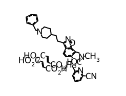 CN(C)Cc1c(OCc2cccc(C#N)n2)ccc2c(CCC3CCN(Cc4ccccc4)CC3)noc12.O=C(O)C=CC(=O)O.O=C(O)C=CC(=O)O